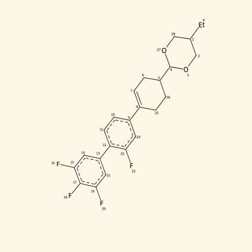 CCC1COC(C2CC=C(c3ccc(-c4cc(F)c(F)c(F)c4)c(F)c3)CC2)OC1